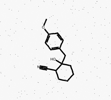 COc1ccc(CC2(O)CCCCC2C#N)cc1